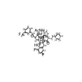 CC[C@@H](C)C1(NC(C)=O)CCN(C(CCc2ccccc2)C(=O)N[C@@H](Cc2cc(F)cc(F)c2)[C@H](O)[C@H]2C[C@@H](OCc3cccc(C(F)(F)F)c3)CN2)C1=O